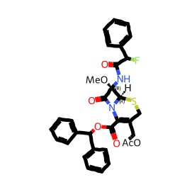 CO[C@]1(NC(=O)C(F)c2ccccc2)C(=O)N2C(C(=O)OC(c3ccccc3)c3ccccc3)=C(COC(C)=O)CS[C@@H]21